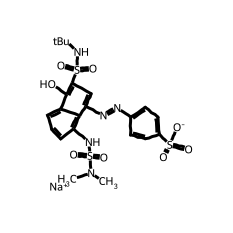 CN(C)S(=O)(=O)Nc1cccc2c(O)c(S(=O)(=O)NC(C)(C)C)cc(N=Nc3ccc(S(=O)(=O)[O-])cc3)c12.[Na+]